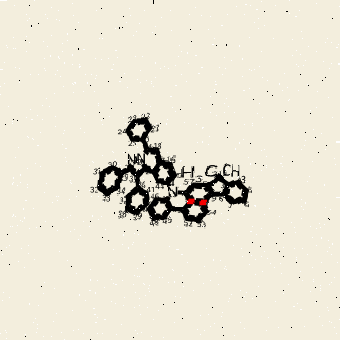 CC1(C)c2ccccc2-c2ccc(N(c3ccc4cc(-c5ccccc5)n5nc(-c6ccccc6)c(-c6ccccc6)c5c4c3)c3ccccc3-c3ccccc3)cc21